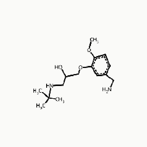 COc1ccc(CN)cc1OCC(O)CNC(C)(C)C